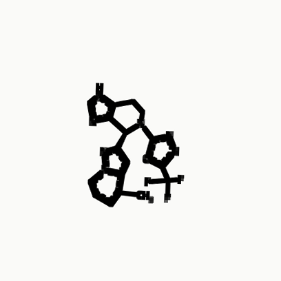 Cc1cccn2nc([C@H]3c4nc[nH]c4CCN3c3nnc(C(F)(F)F)o3)cc12